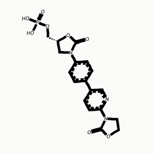 O=C1O[C@@H](COP(=O)(O)O)CN1c1ccc(-c2ccc(N3CCOC3=O)nc2)cc1